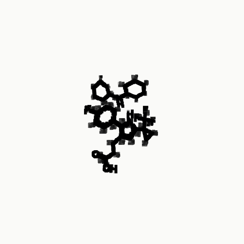 C1CCC(NC2CCCCC2)CC1.O=C(O)CCc1cc(C2(C(F)(F)F)CC2)[nH]c1-c1ccc(F)cc1